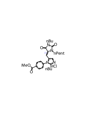 CCCCCN1C(=O)N(CCCC)C(=O)/C1=C/c1cnc(CCCC)n1-c1ccc(C(=O)OC)cc1.Cl